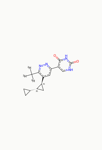 [2H]C([2H])([2H])c1nnc(-c2c[nH]c(=O)[nH]c2=O)cc1[C@H]1C[C@@H]1C1CC1